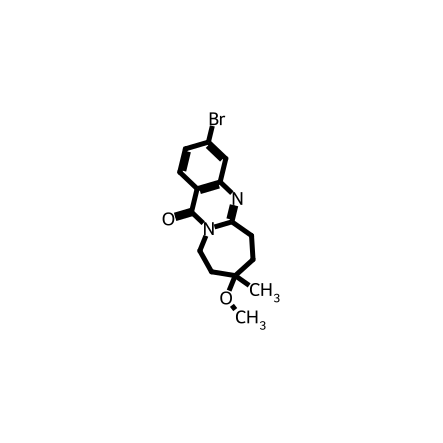 COC1(C)CCc2nc3cc(Br)ccc3c(=O)n2CC1